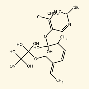 C/C=C(\C=C/C(C)C(O)(O)OC(/C=N\N(C)C(C)(C)C)=C(\Cl)C=O)COC(O)(O)C(O)(O)N=O